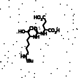 C=C(O)C(CCCCNC(C)(C)C)NC(=O)NC(CCC(=O)O)C(=O)O